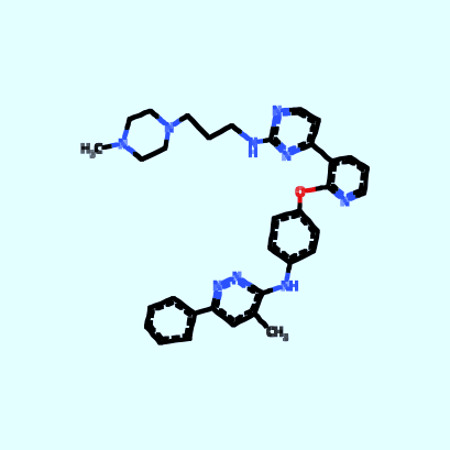 Cc1cc(-c2ccccc2)nnc1Nc1ccc(Oc2ncccc2-c2ccnc(NCCCN3CCN(C)CC3)n2)cc1